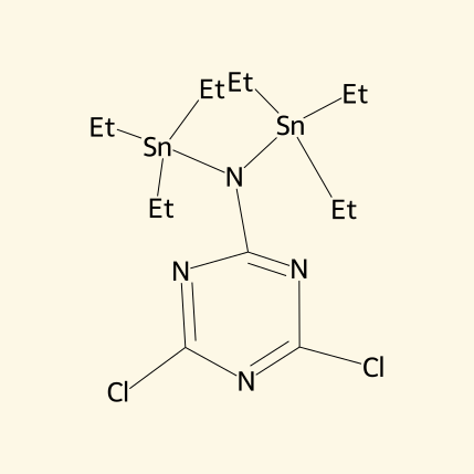 C[CH2][Sn]([CH2]C)([CH2]C)[N](c1nc(Cl)nc(Cl)n1)[Sn]([CH2]C)([CH2]C)[CH2]C